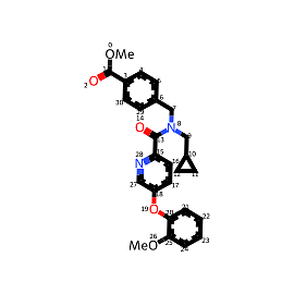 COC(=O)c1ccc(CN(CC2CC2)C(=O)c2ccc(Oc3ccccc3OC)cn2)cc1